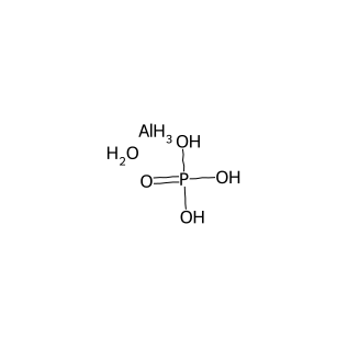 O.O=P(O)(O)O.[AlH3]